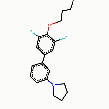 O=C(O)CCCOc1c(F)cc(-c2cccc(N3CCCC3)c2)cc1F